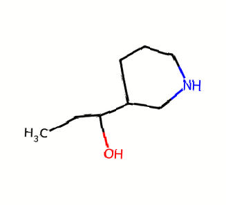 CCC(O)C1CCCNC1